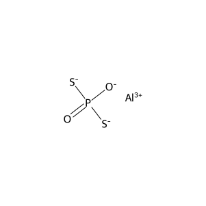 O=P([O-])([S-])[S-].[Al+3]